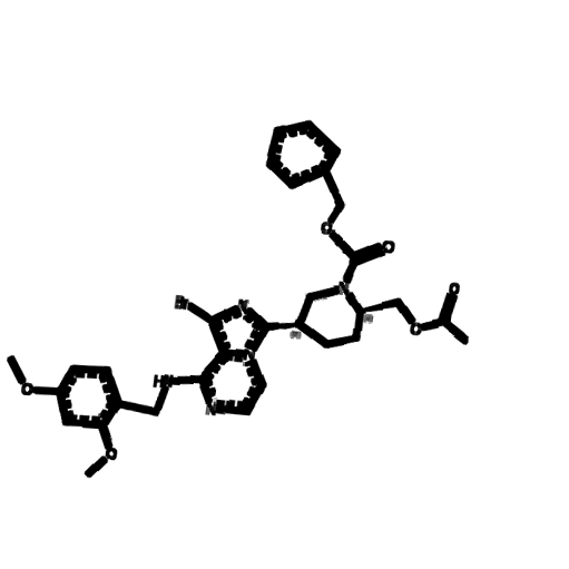 COc1ccc(CNc2nccn3c([C@@H]4CC[C@H](COC(C)=O)N(C(=O)OCc5ccccc5)C4)nc(Br)c23)c(OC)c1